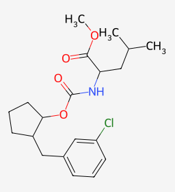 COC(=O)C(CC(C)C)NC(=O)OC1CCCC1Cc1cccc(Cl)c1